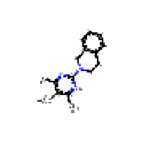 Cc1nc(N2CCc3ccccc3C2)nc(C)c1C(=O)O